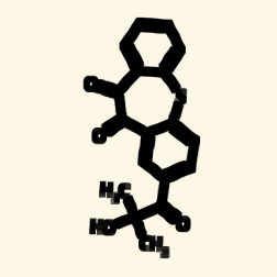 CC(C)(O)C(=O)c1ccc2sc3ccccc3c(=O)c(=O)c2c1